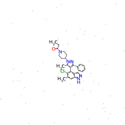 C=CC(=O)N1CCC(n2nc(-c3ccccc3)c(-c3c(Cl)c(C)cc4[nH]ncc34)c2C)CC1